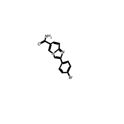 NC(=O)c1ccc2nc(-c3ccc(Br)cc3)cn2c1